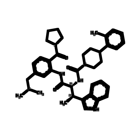 Cc1ccccc1C1CCN(C(=O)N[C@@H](C(=O)Nc2cc(CN(C)C)ccc2C(=O)N2CCCC2)[C@H](C)c2c[nH]c3ccccc23)CC1